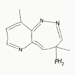 Cc1ccnc2c1=NN=CC(C)(P)C=2